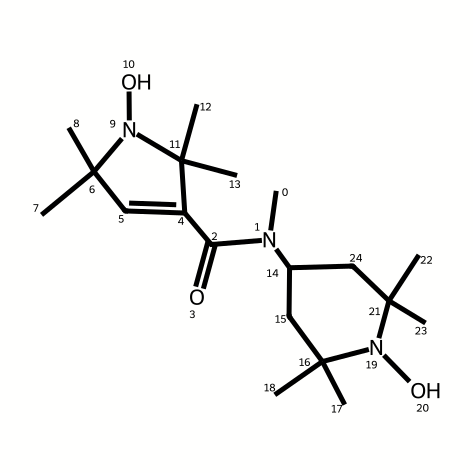 CN(C(=O)C1=CC(C)(C)N(O)C1(C)C)C1CC(C)(C)N(O)C(C)(C)C1